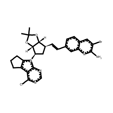 CC1(C)O[C@@H]2[C@H](O1)[C@@H](/C=C/c1ccc3cc(Br)c(N)nc3c1)C[C@H]2n1c2c(c3c(Cl)ncnc31)CCC2